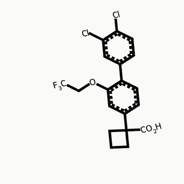 O=C(O)C1(c2ccc(-c3ccc(Cl)c(Cl)c3)c(OCC(F)(F)F)c2)CCC1